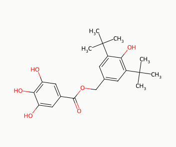 CC(C)(C)c1cc(COC(=O)c2cc(O)c(O)c(O)c2)cc(C(C)(C)C)c1O